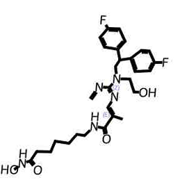 C=N/C(=N\C=C(/C)C(=O)NCCCCCCC(=O)NO)N(CCO)CC(c1ccc(F)cc1)c1ccc(F)cc1